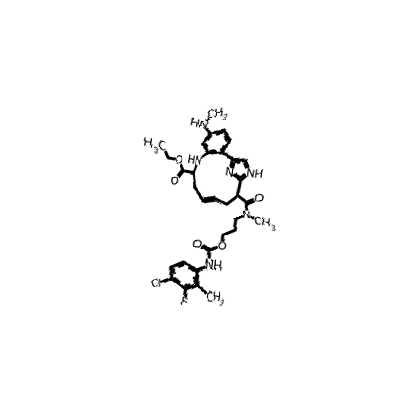 CCOC(=O)C1C/C=C/CC(C(=O)N(C)CCCOC(=O)Nc2ccc(Cl)c(F)c2C)c2nc(c[nH]2)-c2ccc(NC)cc2N1